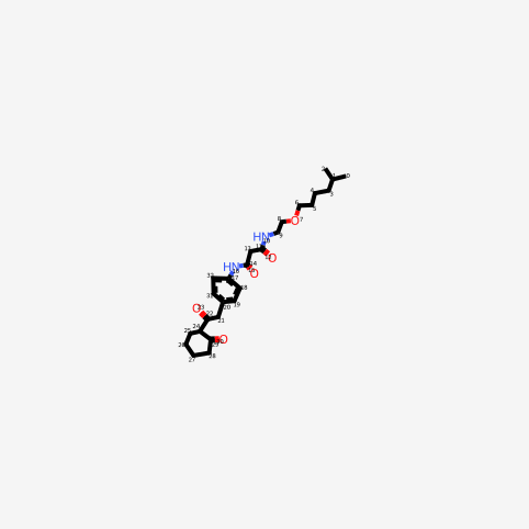 CC(C)CCCCOCCNC(=O)CC(=O)Nc1ccc(CC(=O)C2CCCCC2=O)cc1